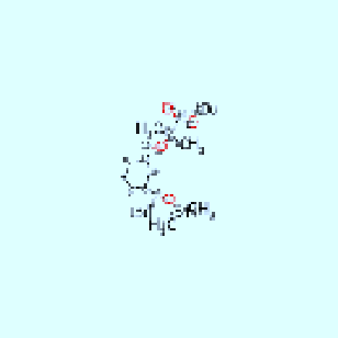 C[SiH](C)OC(C1CCCC(COC(C)(C)C(=O)OC(C)(C)C)C1)C(C)(C)C